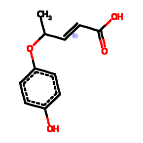 CC(/C=C/C(=O)O)Oc1ccc(O)cc1